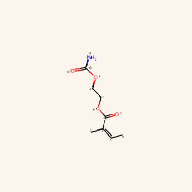 CC=C(C)C(=O)OCCOC(N)=O